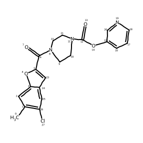 Cc1cc2oc(C(=O)N3CCN(C(=O)Oc4cccnc4)CC3)cc2cc1Cl